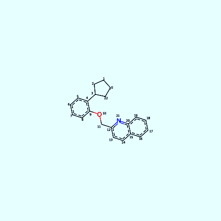 [CH]1CCC(c2ccccc2OCc2ccc3ccccc3n2)C1